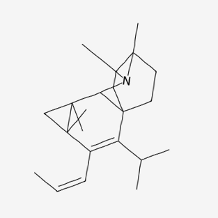 C/C=C\C1=C(C(C)C)C23CCC(C)(CC2)N(C)C3C2(C)CC12C